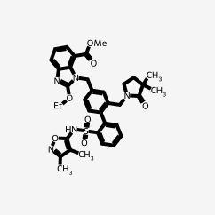 CCOc1nc2cccc(C(=O)OC)c2n1Cc1ccc(-c2ccccc2S(=O)(=O)Nc2onc(C)c2C)c(CN2CCC(C)(C)C2=O)c1